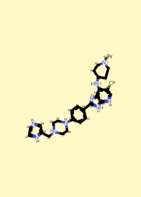 CC(C)N1CCC(Nc2c(Cl)cnc3[nH]c(-c4ccc(N5CCN(Cc6cnccn6)CC5)cc4)nc23)CC1